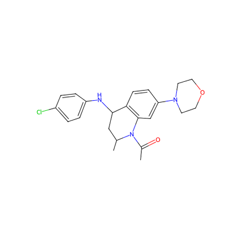 CC(=O)N1c2cc(N3CCOCC3)ccc2C(Nc2ccc(Cl)cc2)CC1C